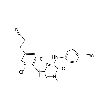 Cn1nc(Nc2c(Cl)cc(CCC#N)cc2Cl)nc(Nc2ccc(C#N)cc2)c1=O